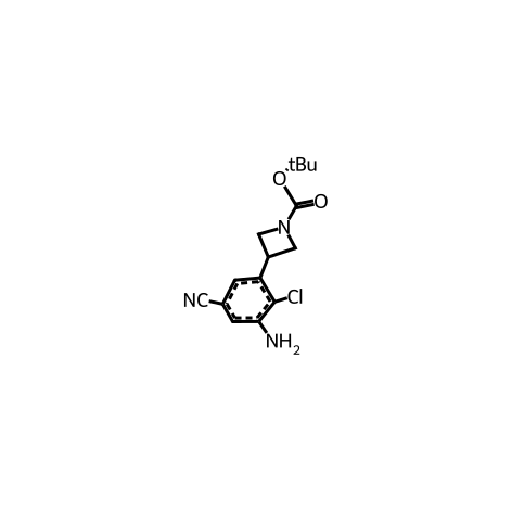 CC(C)(C)OC(=O)N1CC(c2cc(C#N)cc(N)c2Cl)C1